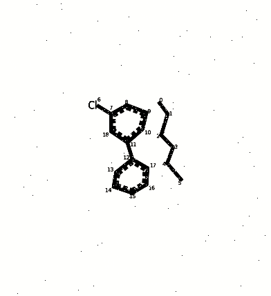 CCCCCC.Clc1cccc(-c2ccccc2)c1